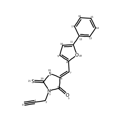 C#CCN1C(=O)/C(=C/c2ccc(-c3ccccc3)o2)SC1=S